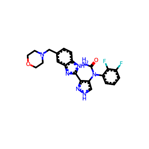 NC(=O)N(c1c[nH]nc1-c1nc2cc(CN3CCOCC3)ccc2[nH]1)c1cccc(F)c1F